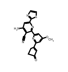 COc1cc(C2=CC(=O)CC2)nc(-c2nc(-c3nccs3)cc(N)c2C#N)c1